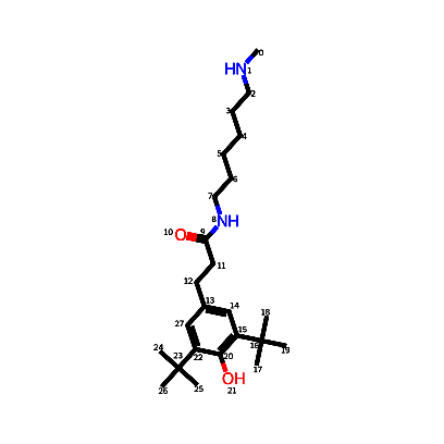 CNCCCCCCNC(=O)CCc1cc(C(C)(C)C)c(O)c(C(C)(C)C)c1